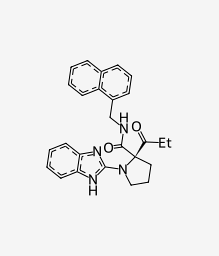 CCC(=O)[C@@]1(C(=O)NCc2cccc3ccccc23)CCCN1c1nc2ccccc2[nH]1